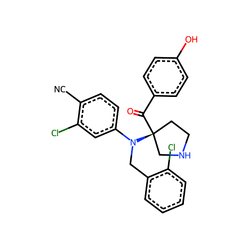 N#Cc1ccc(N(Cc2ccccc2Cl)[C@@]2(C(=O)c3ccc(O)cc3)CCNC2)cc1Cl